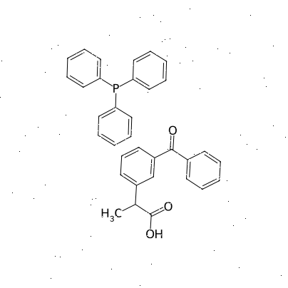 CC(C(=O)O)c1cccc(C(=O)c2ccccc2)c1.c1ccc(P(c2ccccc2)c2ccccc2)cc1